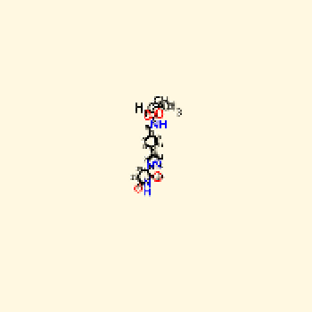 CC(C)(C)OC(=O)NCc1ccc(-c2cnn(C3CCC(=O)NC3=O)c2)cc1